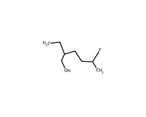 CCC(CO)CCC(C)F